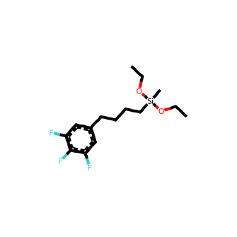 CCO[Si](C)(CCCCc1cc(F)c(F)c(F)c1)OCC